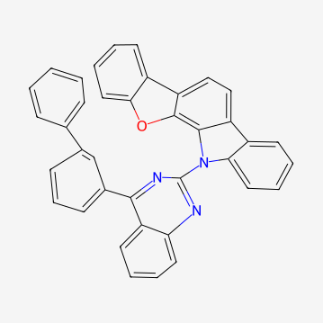 c1ccc(-c2cccc(-c3nc(-n4c5ccccc5c5ccc6c7ccccc7oc6c54)nc4ccccc34)c2)cc1